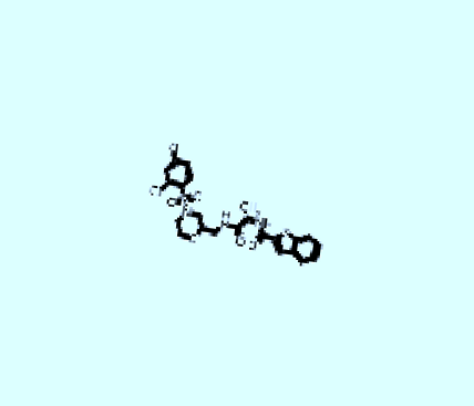 C[C@H](NC(=O)c1cc2ccccc2s1)C(=O)NCC1CN(S(=O)(=O)c2ccc(Cl)cc2Cl)CCO1